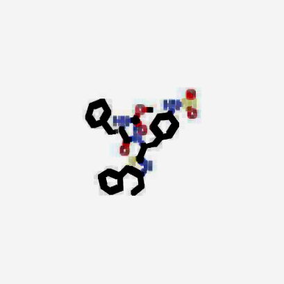 CCc1nc([C@H](Cc2ccc(N[SH](=O)=O)cc2)NC(=O)[C@H](Cc2ccccc2)NC(=O)OC)sc1-c1ccccc1